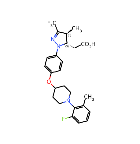 Cc1cccc(F)c1N1CCC(Oc2ccc(N3N=C(C(F)(F)F)[C@@H](C)[C@@H]3CC(=O)O)cc2)CC1